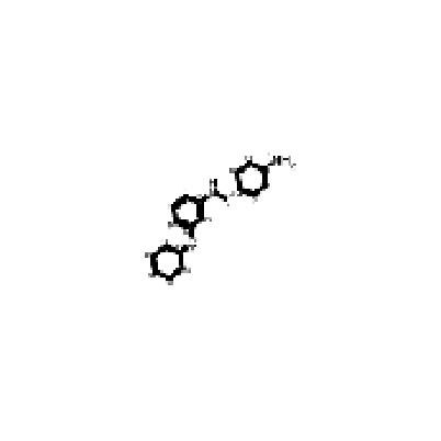 N[C@H]1CC[C@H](CNc2cccc(OC3CCCCC3)c2)CC1